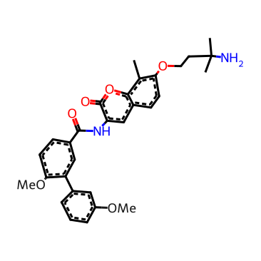 COc1cccc(-c2cc(C(=O)Nc3cc4ccc(OCCC(C)(C)N)c(C)c4oc3=O)ccc2OC)c1